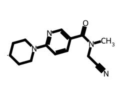 CN(CC#N)C(=O)c1ccc(N2CC[CH]CC2)nc1